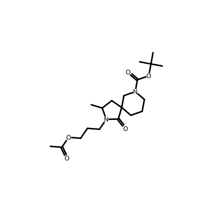 CC(=O)OCCCN1C(=O)C2(CCCN(C(=O)OC(C)(C)C)C2)CC1C